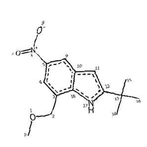 COCc1cc([N+](=O)[O-])cc2cc(C(C)(C)C)[nH]c12